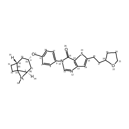 CN1[C@@H]2C[C@@H](Oc3ccc(-n4cnc5cc(CCC6CCCO6)sc5c4=O)cc3)C[C@H]3CCC321